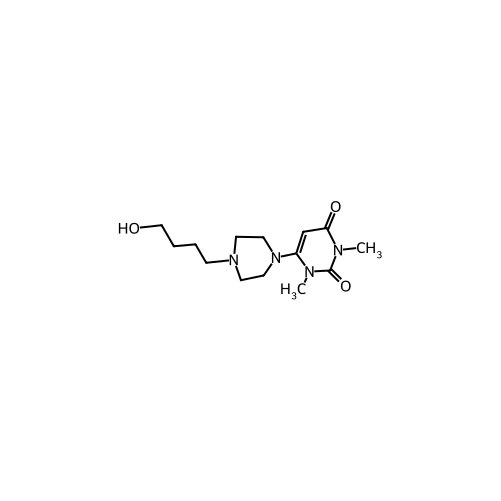 Cn1c(N2CCN(CCCCO)CC2)cc(=O)n(C)c1=O